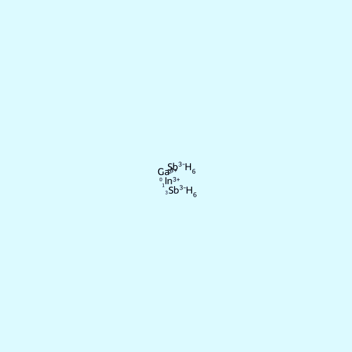 [Ga+3].[In+3].[SbH6-3].[SbH6-3]